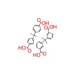 CC(C)(c1ccc(C(=O)O)cc1)c1ccc(C(=O)O)cc1.CC(C)(c1cccc(C(=O)O)c1)c1cccc(C(=O)O)c1